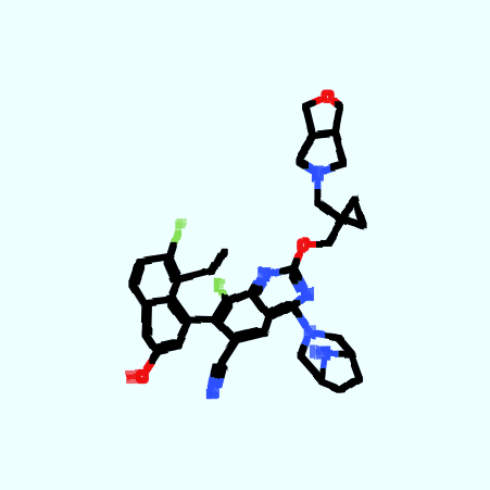 CCc1c(F)ccc2cc(O)cc(-c3c(C#N)cc4c(N5CC6CCC(C5)N6)nc(OCC5(CN6CC7COCC7C6)CC5)nc4c3F)c12